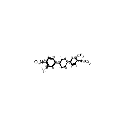 O=[N+]([O-])c1ccc(C2CCC(c3ccc([N+](=O)[O-])c(C(F)(F)F)c3)CC2)cc1C(F)(F)F